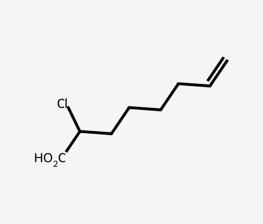 C=CCCCCC(Cl)C(=O)O